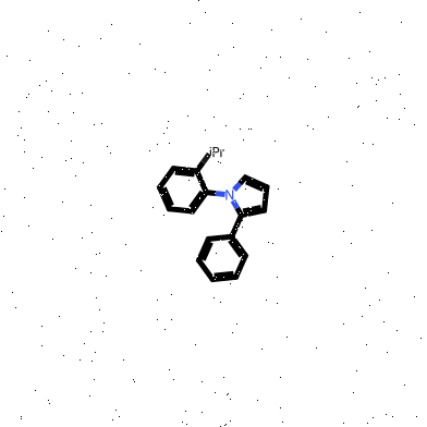 CC(C)c1ccccc1-n1cccc1-c1ccccc1